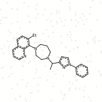 CCc1ccc2cccnc2c1N1CCCN(C(C)c2ccn(-c3ccccc3)n2)CC1